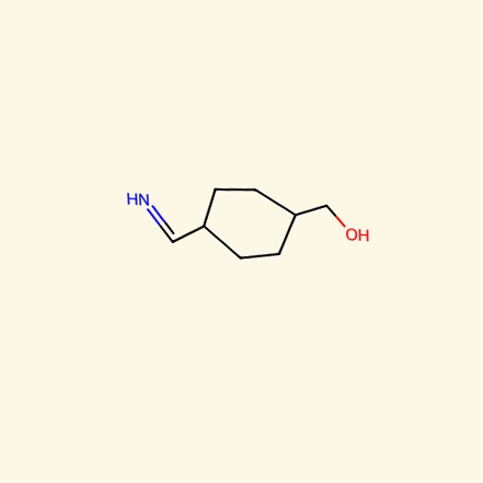 N=CC1CCC(CO)CC1